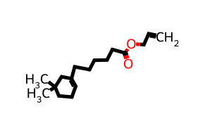 C=CCOC(=O)CCCCCC1=CCCC(C)(C)C1